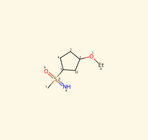 CCOC1CCC(S(C)(=N)=O)C1